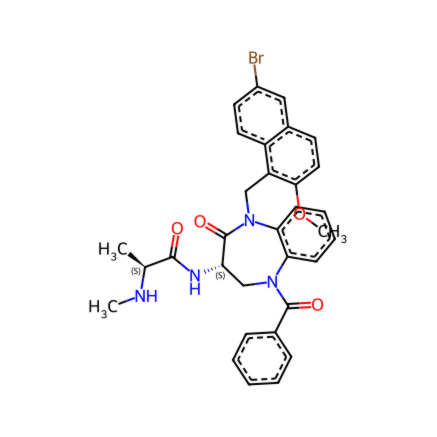 CN[C@@H](C)C(=O)N[C@H]1CN(C(=O)c2ccccc2)c2ccccc2N(Cc2c(OC)ccc3cc(Br)ccc23)C1=O